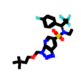 CCN([C@H](c1ccc(F)cc1)C(F)(F)F)S(=O)(=O)c1cnc2c(c1)nnn2COCC[Si](C)(C)C